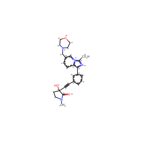 CN1CCC(O)(C#Cc2cccc(-c3nc(C(=O)O)n4cc(CN5CCOCC5)ccc34)c2)C1=O